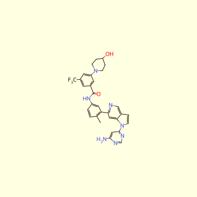 Cc1ccc(NC(=O)c2cc(N3CCC(O)CC3)cc(C(F)(F)F)c2)cc1-c1cc2c(ccn2-c2cc(N)ncn2)cn1